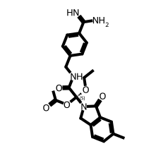 CCO[C@](OC(C)=O)(C(=O)NCc1ccc(C(=N)N)cc1)N1Cc2ccc(C)cc2C1=O